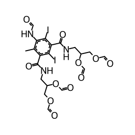 Cc1c(NC=O)c(I)c(C(=O)NCC(COC=O)OC=O)c(I)c1C(=O)NCC(COC=O)OC=O